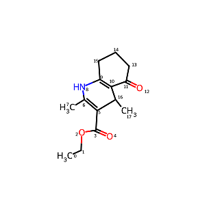 CCOC(=O)C1=C(C)NC2=C(C(=O)CCC2)C1C